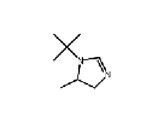 CC1CN=CN1C(C)(C)C